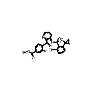 COC(=O)c1ccc(-c2nn(C(=O)c3c(Cl)cccc3C3(C(F)(F)F)CC3)c3cccnc23)c(F)c1